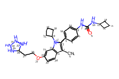 N#Cc1c(-c2ccc(NC(=O)NC3CCC3)cc2)n(C2CCC2)c2cc(OCCC3NNNN3)ccc12